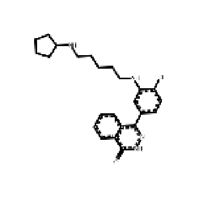 O=c1[nH]nc(-c2ccc(Cl)c(NCCCCCNC3CCCC3)c2)c2ccccc12